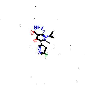 Cc1c(-c2cncc(F)c2)c(=O)c(C(N)=O)cn1C(C)C